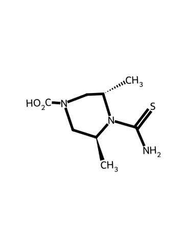 C[C@H]1CN(C(=O)O)C[C@H](C)N1C(N)=S